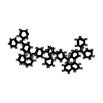 c1ccc(N(c2ccccc2)c2ccc(N(c3ccc(-c4nnc(-c5ccc(N(c6ccc(N(c7ccccc7)c7ccccc7)cc6)c6cccc7ccccc67)cc5)n4-c4ccccc4)cc3)c3cccc4ccccc34)cc2)cc1